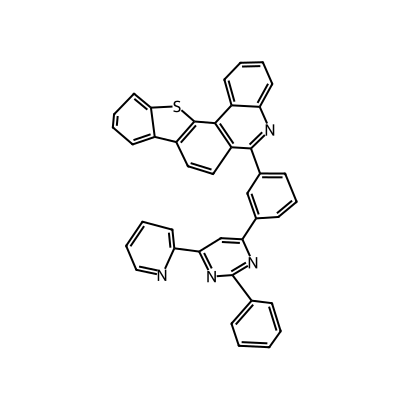 c1ccc(-c2nc(-c3cccc(-c4nc5ccccc5c5c4ccc4c6ccccc6sc45)c3)cc(-c3ccccn3)n2)cc1